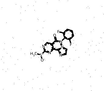 C[S+]([O-])c1ncc2c(=O)n(-c3c(F)cccc3F)n3ccnc3c2n1